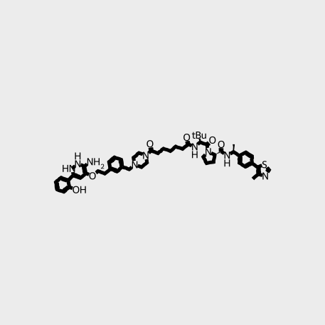 Cc1ncsc1-c1ccc([C@H](C)NC(=O)[C@@H]2CCCN2C(=O)[C@@H](NC(=O)CCCCCC(=O)N2CCN(Cc3cccc(CCOC4=C(N)NNC(c5ccccc5O)=C4)c3)CC2)C(C)(C)C)cc1